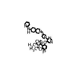 CC(C)N(C(=O)c1cc(F)ccc1Oc1cncnc1N1CC[C@@H](CN2CCC3(CCC(Nc4ccccn4)CC3)CC2)C1)C(C)C